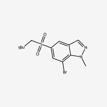 Cn1ncc2cc(S(=O)(=O)CC(C)(C)C)cc(Br)c21